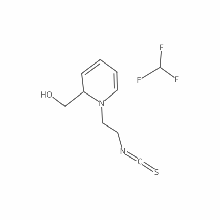 FC(F)F.OCC1C=CC=CN1CCN=C=S